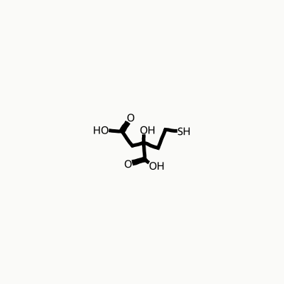 O=C(O)CC(O)(CCS)C(=O)O